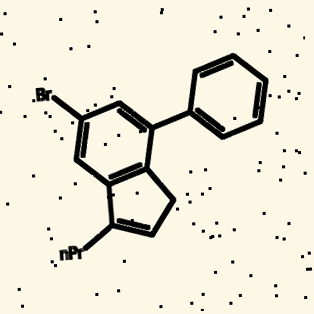 CCCC1=CCc2c1cc(Br)cc2-c1ccccc1